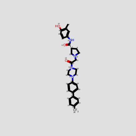 Cc1cc(NC(=O)[C@@H]2CCN(CC(=O)N3CCN(c4ccc(-c5ccc(C(F)(F)F)cc5)cc4)CC3)C2)ccc1O